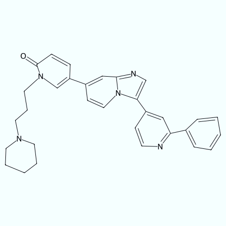 O=c1ccc(-c2ccn3c(-c4ccnc(-c5ccccc5)c4)cnc3c2)cn1CCCN1CCCCC1